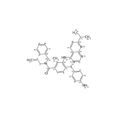 C=CCN(C(=O)c1ccc(Sc2ccc(N)cc2)c(Nc2ncnc3nc(C(C)C)ccc23)c1)[C@@H](C)c1ccccc1